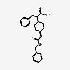 CCCC(=N)C(Cc1ccccc1)C1CCC(=CC(=O)NCc2ccccn2)CC1